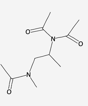 CC(=O)N(C)CC(C)N(C(C)=O)C(C)=O